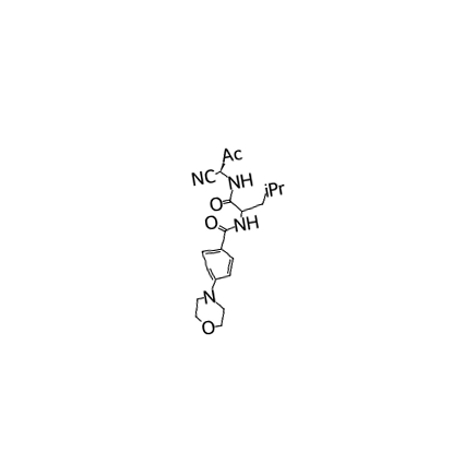 CC(=O)[C@H](C#N)NC(=O)C(CC(C)C)NC(=O)c1ccc(N2CCOCC2)cc1